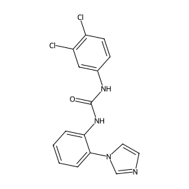 O=C(Nc1ccc(Cl)c(Cl)c1)Nc1ccccc1-n1ccnc1